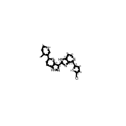 Cc1ccncc1-c1ccc2[nH]nc(-c3nc4c(-c5ccc(Cl)s5)nccc4[nH]3)c2n1